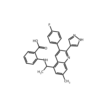 Cc1cc(C(C)Nc2ccccc2C(=O)O)c2cc(-c3ccc(F)cc3)c(-c3cn[nH]c3)nc2c1